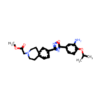 COC(=O)CN1CCc2ccc(-c3noc(-c4ccc(OC(C)C)c(N)c4)n3)cc2CC1